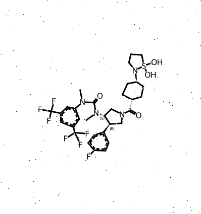 CN(C(=O)N(C)[C@@H]1CN(C(=O)[C@H]2CC[C@H](N3CCCS3(O)O)CC2)C[C@H]1c1ccc(F)cc1)c1cc(C(F)(F)F)cc(C(F)(F)F)c1